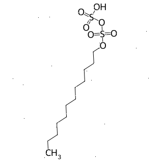 CCCCCCCCCCCCOS(=O)(=O)OS(=O)(=O)O